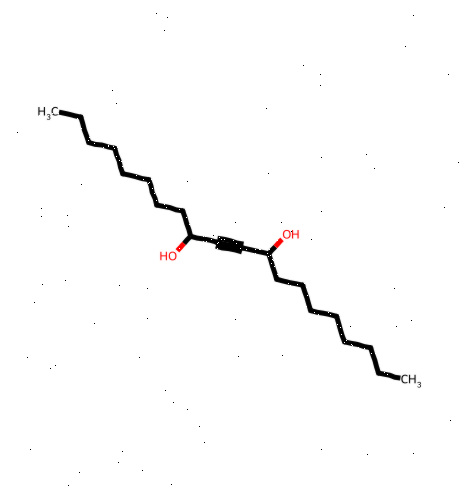 CCCCCCCCC(O)C#CC(O)CCCCCCCC